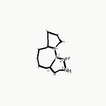 C1CC2CCCN2N2NNCC2C1